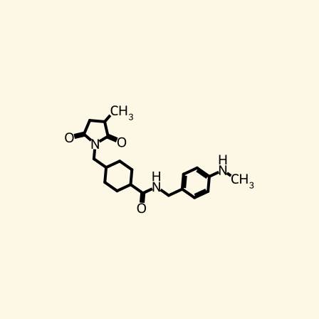 CNc1ccc(CNC(=O)C2CCC(CN3C(=O)CC(C)C3=O)CC2)cc1